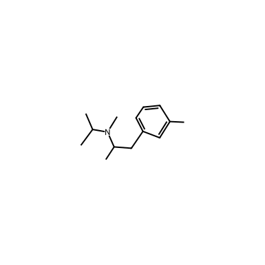 Cc1cccc(CC(C)N(C)C(C)C)c1